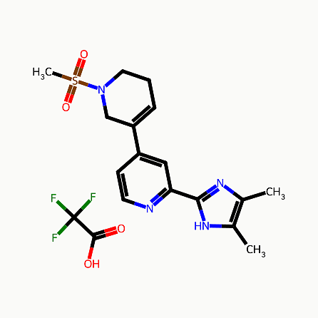 Cc1nc(-c2cc(C3=CCCN(S(C)(=O)=O)C3)ccn2)[nH]c1C.O=C(O)C(F)(F)F